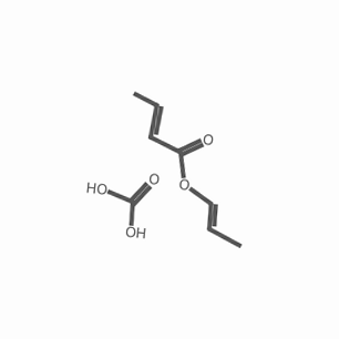 CC=COC(=O)C=CC.O=C(O)O